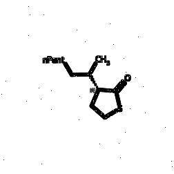 CCCCCCC(C)[C@H]1CCSC1=O